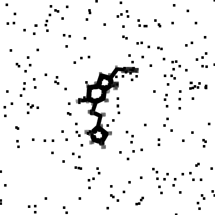 CC(=O)NCc1cc2cc(F)c(OCc3cocn3)cc2[nH]1